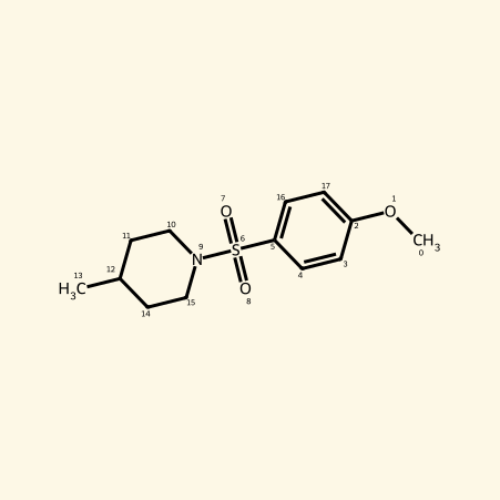 COc1ccc(S(=O)(=O)N2CCC(C)CC2)cc1